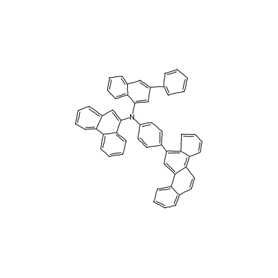 c1ccc(-c2cc(N(c3ccc(-c4cc5c6ccccc6ccc5c5ccccc45)cc3)c3cc4ccccc4c4ccccc34)c3ccccc3c2)cc1